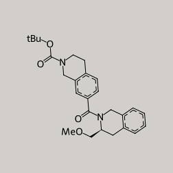 COC[C@@H]1Cc2ccccc2CN1C(=O)c1ccc2c(c1)CN(C(=O)OC(C)(C)C)CC2